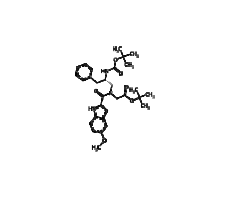 COc1ccc2[nH]c(C(=O)N(CC(=O)OC(C)(C)C)C[C@H](Cc3ccccc3)NC(=O)OC(C)(C)C)cc2c1